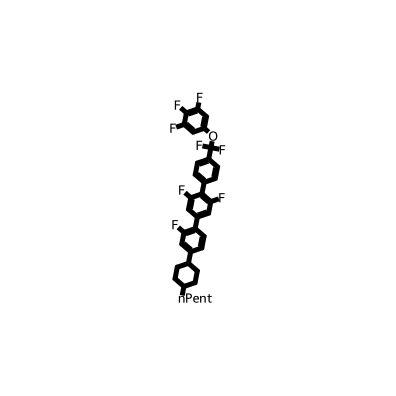 CCCCCC1CCC(c2ccc(-c3cc(F)c(-c4ccc(C(F)(F)Oc5cc(F)c(F)c(F)c5)cc4)c(F)c3)c(F)c2)CC1